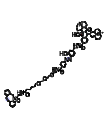 O=C(CCCCCOCCOCCOCCNC(=O)c1ccc(/N=N/c2ccc(CCNC(=O)c3ccc(C4=c5cc6c7c(c5Oc5c4cc4c8c5CCCN8CCC4)CCC[N+]=7CCC6)c(C(=O)O)c3)cc2O)cc1)NCCC(=O)N1Cc2ccccc2/C=C\c2ccccc21